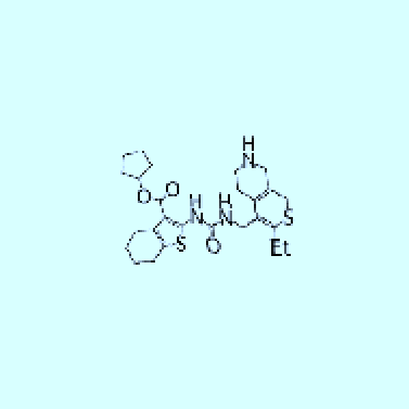 CCC1=C(CNC(=O)Nc2sc3c(c2C(=O)OC2CCCC2)CCCC3)C2=C(CNCC2)CS1